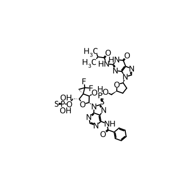 CC(C)C(=O)Nc1nc2c(ncn2[C@H]2CC[C@@H](CO[PH](=S)O[C@H]3[C@H](n4cnc5c(NC(=O)c6ccccc6)ncnc54)O[C@H](COP(O)(O)=S)[C@]34CC4(F)F)O2)c(=O)[nH]1